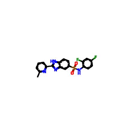 Cc1cccc(-c2nc3cc(S(=O)(=O)Nc4ccc(F)cc4F)ccc3[nH]2)n1